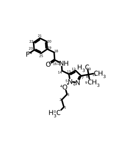 CCCCOn1nc(C(C)(C)C)cc1CNC(=O)Cc1cccc(F)c1